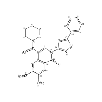 COc1cc2c(C(=O)N3CCCCC3)cn(-c3cc(-c4ccccc4)on3)c(=O)c2cc1OC